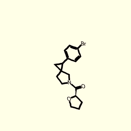 O=C([C@H]1CCCO1)N1CCC2(CC2c2ccc(Br)cc2)C1